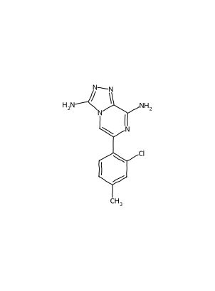 Cc1ccc(-c2cn3c(N)nnc3c(N)n2)c(Cl)c1